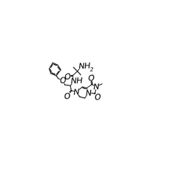 CN1C(=O)C2=CN(C(=O)C(COCc3ccccc3)NC(=O)C(C)(C)N)CCN2C1=O